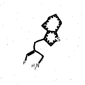 NC/C(=C\F)Cc1csc2ccccc12